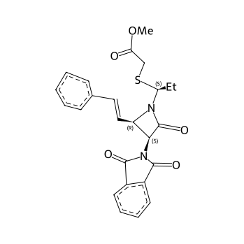 CC[C@H](SCC(=O)OC)N1C(=O)[C@@H](N2C(=O)c3ccccc3C2=O)[C@H]1C=Cc1ccccc1